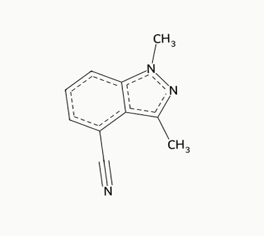 Cc1nn(C)c2cccc(C#N)c12